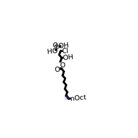 CCCCCCCC/C=C\CCCCCCCC(=O)OCC(O)CC(Cl)P(=O)(O)O